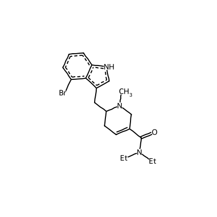 CCN(CC)C(=O)C1=CCC(Cc2c[nH]c3cccc(Br)c23)N(C)C1